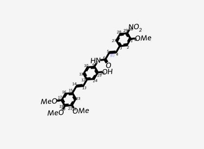 COc1cc(/C=C/C(=O)Nc2ccc(C=Cc3cc(OC)c(OC)c(OC)c3)cc2O)ccc1[N+](=O)[O-]